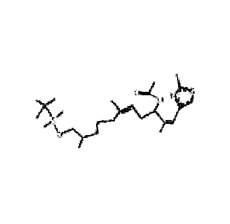 CC(=O)OC(CC=C(C)CCCC(C)CO[Si](C)(C)C(C)(C)C)C(C)=Cc1csc(C)n1